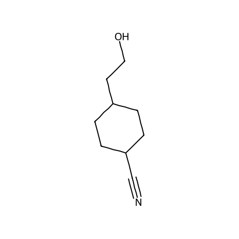 N#CC1CCC(CCO)CC1